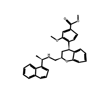 COC(=O)c1ccc([C@@H]2C[C@H](CN[C@H](C)c3cccc4ccccc34)Oc3ccccc32)c(OC)c1